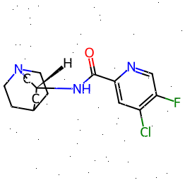 O=C(N[C@@H]1CC2CCN(CC2)C1)c1cc(Cl)c(F)cn1